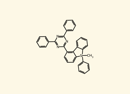 C[Si]1(c2ccccc2)c2ccccc2-c2c(-c3nc(-c4ccccc4)nc(-c4ccccc4)n3)cccc21